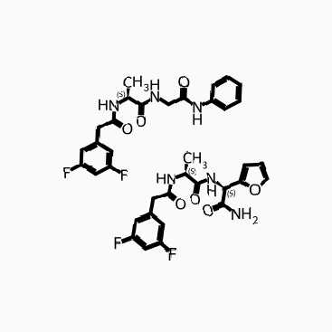 C[C@H](NC(=O)Cc1cc(F)cc(F)c1)C(=O)NCC(=O)Nc1ccccc1.C[C@H](NC(=O)Cc1cc(F)cc(F)c1)C(=O)N[C@H](C(N)=O)c1ccco1